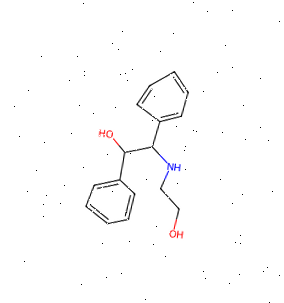 OCCNC(c1ccccc1)C(O)c1ccccc1